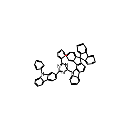 c1ccc(-c2nc(-c3ccc4c5ccccc5n(-c5ccccc5)c4c3)nc(-n3c4ccccc4c4ccc5c(c43)-c3ccccc3C53c4ccccc4-c4ccccc43)n2)cc1